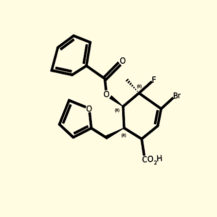 C[C@]1(F)C(Br)=CC(C(=O)O)[C@@H](Cc2ccco2)[C@H]1OC(=O)c1ccccc1